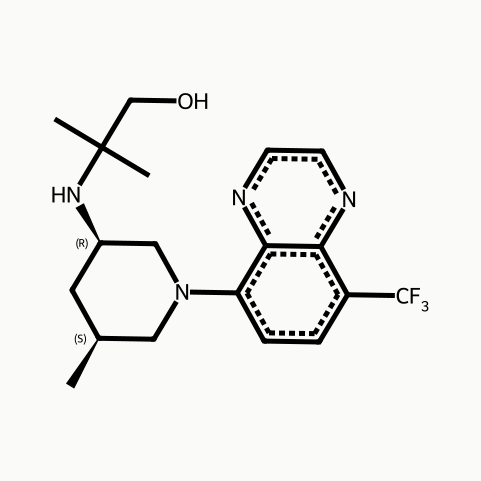 C[C@H]1C[C@@H](NC(C)(C)CO)CN(c2ccc(C(F)(F)F)c3nccnc23)C1